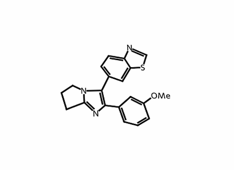 COc1cccc(-c2nc3n(c2-c2ccc4ncsc4c2)CCC3)c1